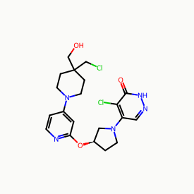 O=c1[nH]ncc(N2CC[C@@H](Oc3cc(N4CCC(CO)(CCl)CC4)ccn3)C2)c1Cl